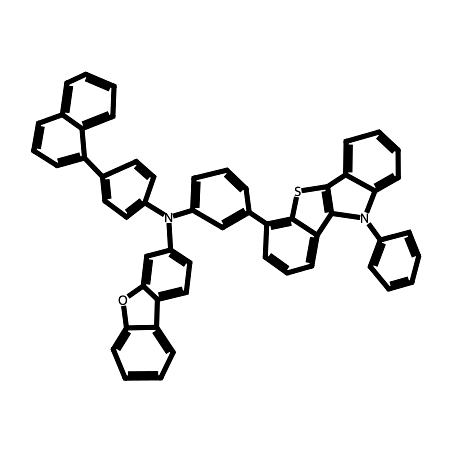 c1ccc(-n2c3ccccc3c3sc4c(-c5cccc(N(c6ccc(-c7cccc8ccccc78)cc6)c6ccc7c(c6)oc6ccccc67)c5)cccc4c32)cc1